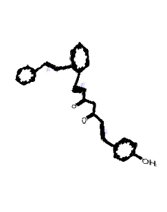 O=C(/C=C/c1ccc(O)cc1)CC(=O)/C=C/c1ccccc1/C=C/c1ccccc1